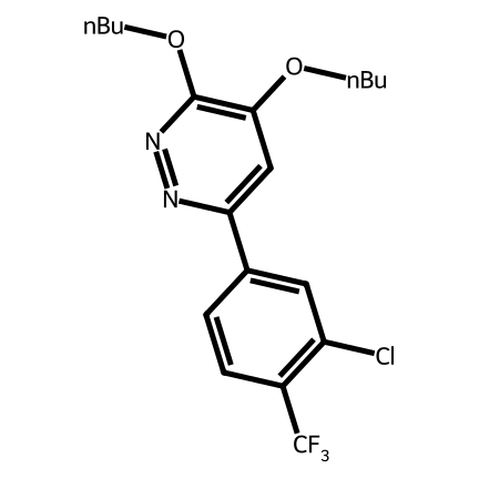 CCCCOc1cc(-c2ccc(C(F)(F)F)c(Cl)c2)nnc1OCCCC